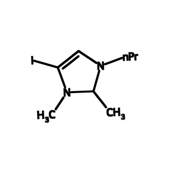 CCCN1C=C(I)N(C)C1C